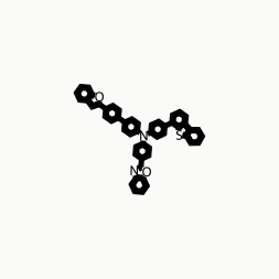 c1ccc2oc(-c3ccc(-c4ccc(N(c5ccc(-c6nc7ccccc7o6)cc5)c5ccc(-c6cccc7c6sc6ccccc67)cc5)cc4)cc3)cc2c1